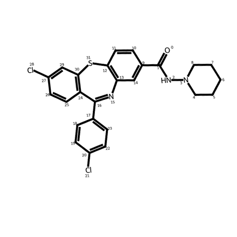 O=C(NN1CCCCC1)c1ccc2c(c1)N=C(c1ccc(Cl)cc1)c1ccc(Cl)cc1S2